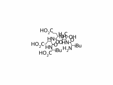 CCC(C)C(N)C(=O)NC(C(=O)NC(CCC(=O)O)C(=O)NC(CCC(=O)O)C(=O)NC(C(=O)O)C(C)CC)C(C)O